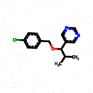 CC(C)C(OCc1ccc(Cl)cc1)c1cncnc1